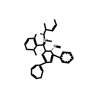 C=N[C@@H]1C(c2ccccc2)=CC(C2=CCC=CC=C2)=CC1C(C1=C(C)C=CCC1C)=[N+](C)[C@@H](C)C(C)/C=C\C